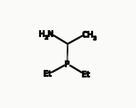 CCP(CC)C(C)N